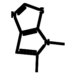 Cc1cc2ncsc2n1C